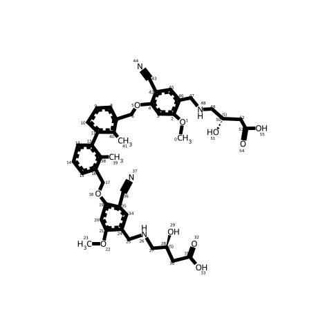 COc1cc(OCc2cccc(-c3cccc(COc4cc(OC)c(CNC[C@@H](O)CC(=O)O)cc4C#N)c3C)c2C)c(C#N)cc1CNC[C@@H](O)CC(=O)O